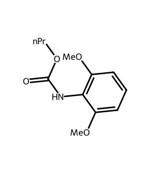 [CH2]CCOC(=O)Nc1c(OC)cccc1OC